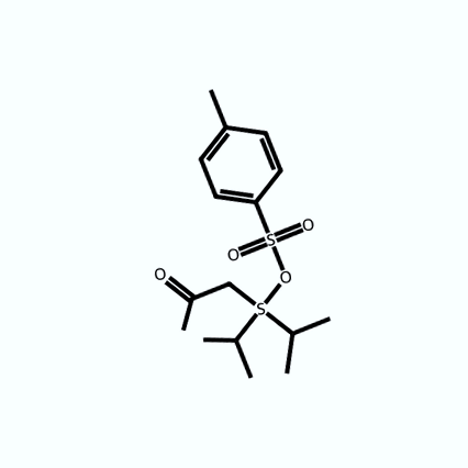 CC(=O)CS(OS(=O)(=O)c1ccc(C)cc1)(C(C)C)C(C)C